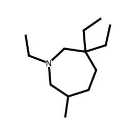 CCN1CC(C)CCC(CC)(CC)C1